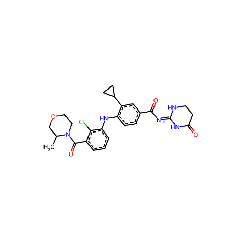 CC1COCCN1C(=O)c1cccc(Nc2ccc(C(=O)/N=C3\NCCC(=O)N3)cc2C2CC2)c1Cl